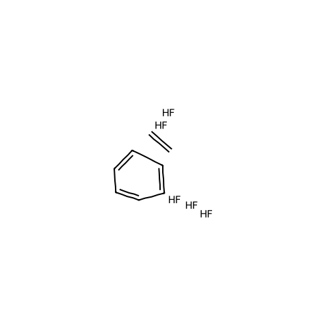 C=C.F.F.F.F.F.c1ccccc1